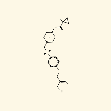 NCC(=CF)COc1ccc(S(=O)(=O)CC23CCC(NC(=O)C4(F)CC4)(CC2)CC3)cc1